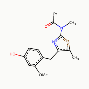 COc1cc(O)ccc1Cc1nc(N(C)C(=O)C(C)C)sc1C